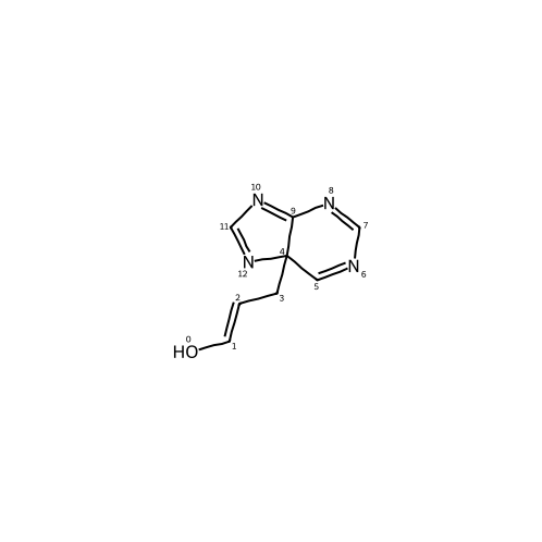 OC=CCC12C=NC=NC1=NC=N2